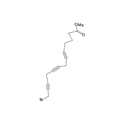 COC(=O)CCCC#CCC#CCC#CCBr